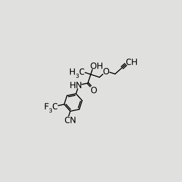 C#CCOCC(C)(O)C(=O)Nc1ccc(C#N)c(C(F)(F)F)c1